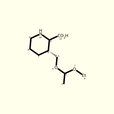 CCOC(C)OC[C@@H]1CCCNC1C(=O)O